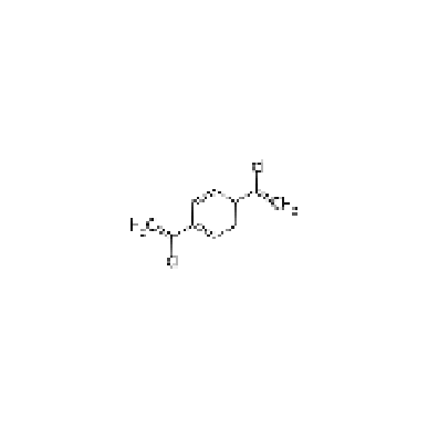 C=C(Cl)c1ccc(C(=C)Cl)cc1